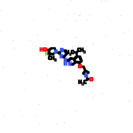 CC(=O)N1CC(COc2ccc(C(C)C)c3cc(Nc4ccnc(N5CC[C@@H](O)[C@@](C)(F)C5)n4)ncc23)C1